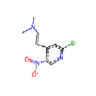 CN(C)/C=C/c1cc(Br)ncc1[N+](=O)[O-]